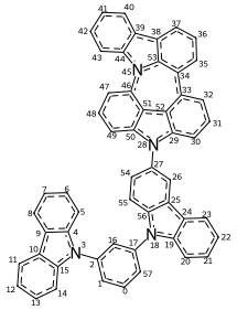 c1cc(-n2c3ccccc3c3ccccc32)cc(-n2c3ccccc3c3cc(-n4c5cccc6c7cccc8c9ccccc9n(c9cccc4c9c65)c78)ccc32)c1